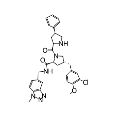 COc1ccc(C[C@@H]2C[C@@H](C(=O)NCc3ccc4c(c3)nnn4C)N(C(=O)[C@H]3C[C@@H](c4ccccc4)CN3)C2)cc1Cl